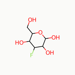 OCC1OC(O)C(O)C(F)C1O